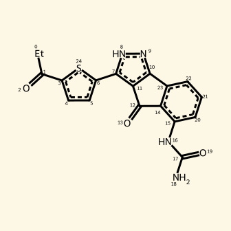 CCC(=O)c1ccc(-c2[nH]nc3c2C(=O)c2c(NC(N)=O)cccc2-3)s1